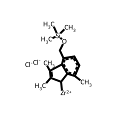 CC1=C(C)[CH]([Zr+2])c2c(C)ccc(CO[Si](C)(C)C)c21.[Cl-].[Cl-]